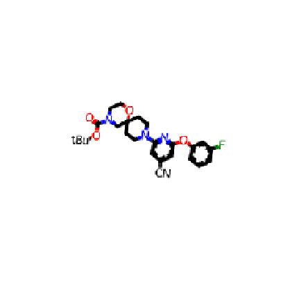 CC(C)(C)OC(=O)N1CCOC2(CCN(c3cc(C#N)cc(Oc4cccc(F)c4)n3)CC2)C1